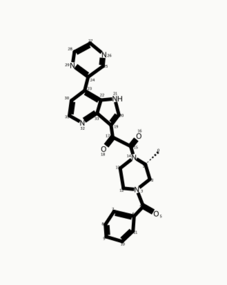 C[C@@H]1CN(C(=O)c2ccccc2)CCN1C(=O)C(=O)c1c[nH]c2c(-c3cnccn3)ccnc12